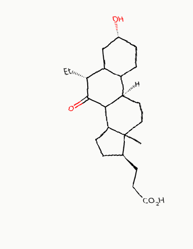 CC[C@H]1C(=O)C2C3CC[C@H](CCC(=O)O)C3(C)CC[C@@H]2C2CC[C@@H](O)CC21